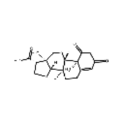 CC(=O)[C@H]1CC[C@H]2[C@@H]3CCC4=CC(=O)CC(=O)[C@]4(C)[C@H]3CC[C@]12C